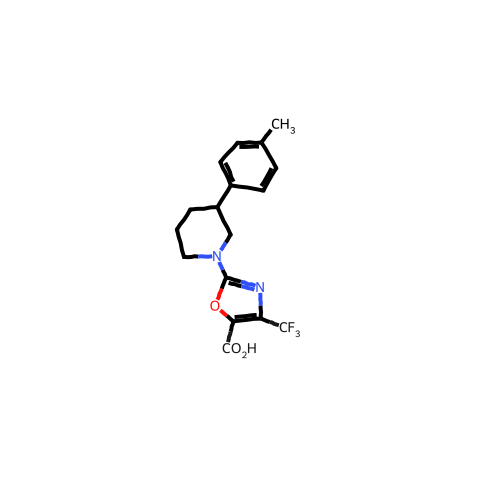 Cc1ccc(C2CCCN(c3nc(C(F)(F)F)c(C(=O)O)o3)C2)cc1